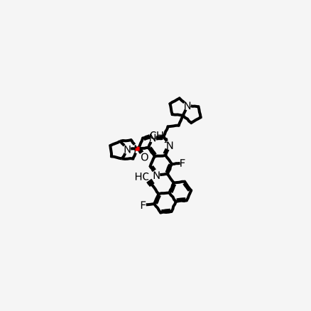 C#Cc1c(F)ccc2cccc(-c3ncc4c(N5CC6CCC(C5)N6C(=O)C=C)nc(CCC56CCCN5CCC6)nc4c3F)c12